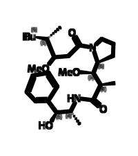 CC[C@H](C)[C@H](C)C(CC(=O)N1CCC[C@H]1[C@H](OC)[C@@H](C)C(=O)N[C@H](C)[C@@H](O)c1ccccc1)OC